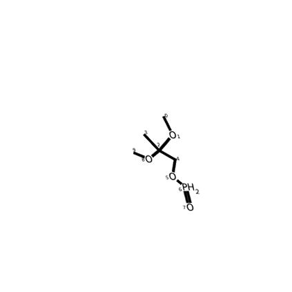 COC(C)(CO[PH2]=O)OC